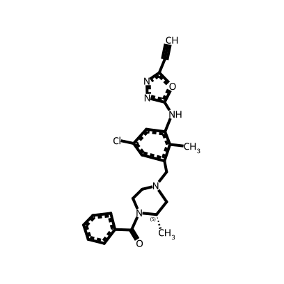 C#Cc1nnc(Nc2cc(Cl)cc(CN3CCN(C(=O)c4ccccc4)[C@@H](C)C3)c2C)o1